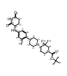 CC(C)(C)OC(=O)N1CC[C@H](N2CCN(c3ccc(NC4CCC(=O)NC4=O)cc3F)CC2)C(F)(F)C1